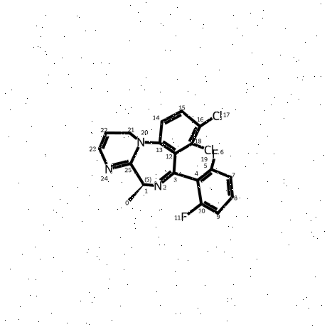 C[C@@H]1N=C(c2c(F)cccc2F)c2c(ccc(Cl)c2Cl)N2CC=CN=C12